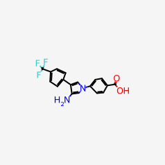 Nc1cn(-c2ccc(C(=O)O)cc2)cc1-c1ccc(C(F)(F)F)cc1